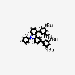 Cc1c(-c2cc(C(C)(C)C)cc(C(C)(C)C)c2)ccc2c1c1c(-c3cc(C(C)(C)C)cc(C(C)(C)C)c3)cccc1n2-c1ccccc1